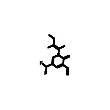 C=CC1=CC(C(F)F)=CN(/C(C)=C(\C)CC)C1=C